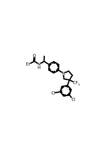 CCC(=O)NC(C)c1ccc(N2CCC(c3cc(Cl)cc(Cl)c3)(C(F)(F)F)C2)cc1